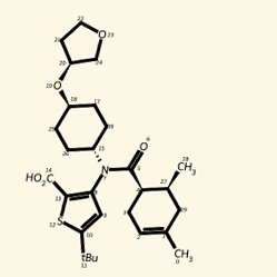 CC1=CC[C@@H](C(=O)N(c2cc(C(C)(C)C)sc2C(=O)O)[C@H]2CC[C@H](O[C@H]3CCOC3)CC2)[C@@H](C)C1